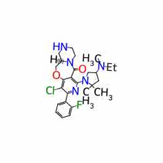 CCN(C)C1CN(c2nc(-c3ccccc3F)c(Cl)c3c2C(=O)N2CCNC[C@@H]2CO3)C(C)(C)C1